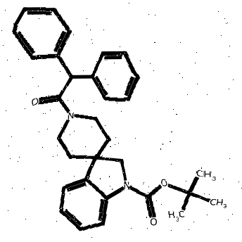 CC(C)(C)OC(=O)N1CC2(CCN(C(=O)C(c3ccccc3)c3ccccc3)CC2)c2ccccc21